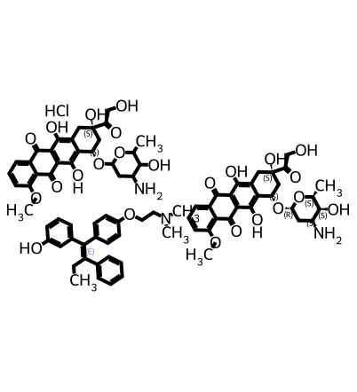 CC/C(=C(/c1ccc(OCCN(C)C)cc1)c1cccc(O)c1)c1ccccc1.COc1cccc2c1C(=O)c1c(O)c3c(c(O)c1C2=O)C[C@@](O)(C(=O)CO)C[C@@H]3OC1CC(N)C(O)C(C)O1.COc1cccc2c1C(=O)c1c(O)c3c(c(O)c1C2=O)C[C@@](O)(C(=O)CO)C[C@@H]3O[C@H]1C[C@H](N)[C@H](O)[C@H](C)O1.Cl